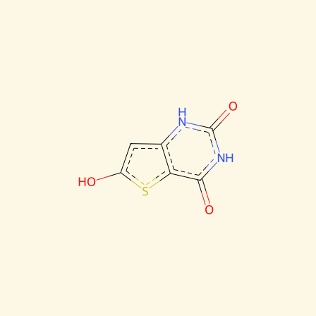 O=c1[nH]c(=O)c2sc(O)cc2[nH]1